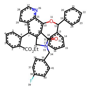 CCOC(=O)c1ccccc1-c1c2c(c(OC(c3ccccc3)c3ccccc3)c3ncccc13)C(=O)N(Cc1ccc(F)cc1)C2